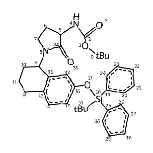 CC(C)(C)OC(=O)NC1CCN(C2CCCc3ccc(O[Si](c4ccccc4)(c4ccccc4)C(C)(C)C)cc32)C1=O